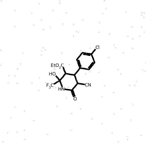 CCOC(=O)C1C(c2ccc(Cl)cc2)C(C#N)C(=O)NC1(O)C(F)(F)F